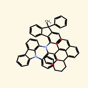 CC1(c2ccccc2)c2ccccc2-c2c(N(c3ccccc3-c3cccc4cccc(C5CCCCC5)c34)c3cccc4c5ccccc5n(-c5ccccc5)c34)cccc21